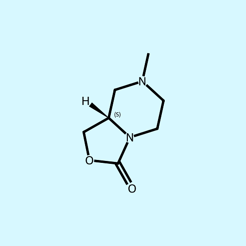 CN1CCN2C(=O)OC[C@@H]2C1